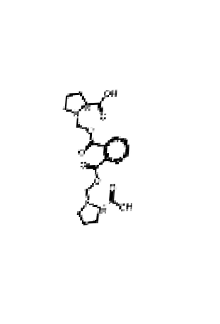 O=C(OCN1CCC[C@H]1C(=O)O)c1ccccc1C(=O)OCN1CCC[C@H]1C(=O)O